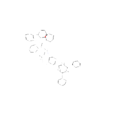 C=N/C(=N\C1=C(c2ccccc2)C2(c3ccccc31)c1ccccc1-c1ccccc12)c1ccc(-c2nc(-c3ccccc3)nc(-c3ccccc3)n2)cc1